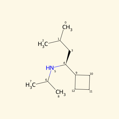 CC(C)C[C@H](NC(C)C)C1CCC1